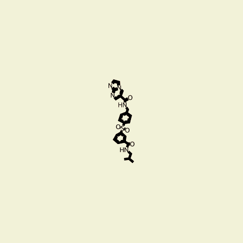 CC(C)CNC(=O)c1cccc(S(=O)(=O)c2ccc(CNC(=O)c3cnc4nccn4c3)cc2)c1